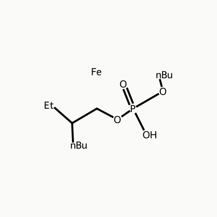 CCCCOP(=O)(O)OCC(CC)CCCC.[Fe]